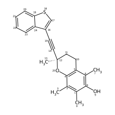 Cc1c(C)c2c(c(C)c1O)CC[C@](C)(C#Cc1csc3ccccc13)O2